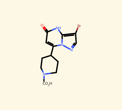 O=C(O)N1CCC(c2cc(=O)[nH]c3c(Br)cnn23)CC1